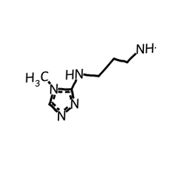 Cn1cnnc1NCCC[NH]